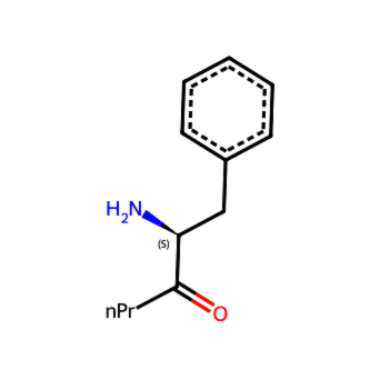 [CH2]CCC(=O)[C@@H](N)Cc1ccccc1